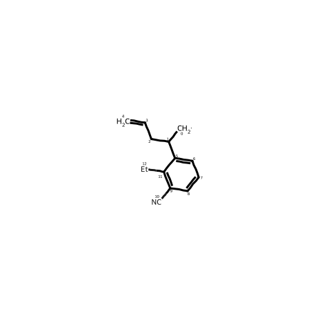 [CH2]C(CC=C)c1cccc(C#N)c1CC